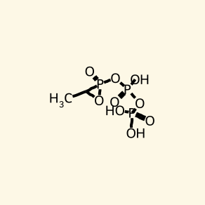 CC1OP1(=O)OP(=O)(O)OP(=O)(O)O